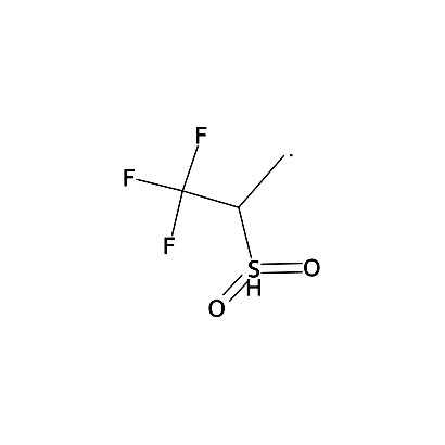 [CH2]C([SH](=O)=O)C(F)(F)F